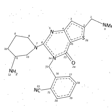 CNCc1cc2nc(N3CCCC(N)C3)n(Cc3ccccc3C#N)c(=O)c2s1